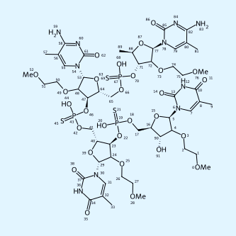 COCCOC1[C@H](n2cc(C)c(=O)[nH]c2=O)O[C@H](COP(O)(=S)O[C@H]2C(OCCOC)[C@H](n3cc(C)c(=O)[nH]c3=O)O[C@@H]2COP(O)(=S)O[C@H]2C(OCCOC)[C@H](n3cc(C)c(N)nc3=O)O[C@@H]2COP(O)(=S)O[C@H]2C(OCCOC)[C@H](n3cc(C)c(N)nc3=O)O[C@@H]2C)[C@H]1O